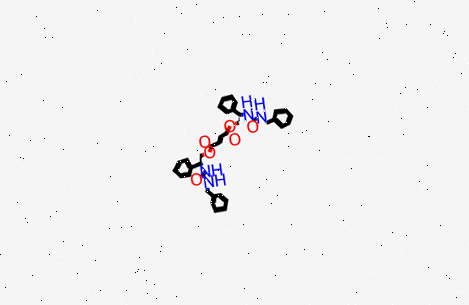 O=C(NCc1ccccc1)N[C@H](COC(=O)/C=C/C(=O)OC[C@@H](NC(=O)NCc1ccccc1)c1ccccc1)c1ccccc1